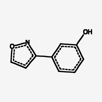 Oc1cccc(-c2ccon2)c1